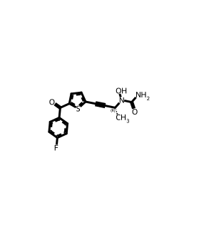 C[C@H](C#Cc1ccc(C(=O)c2ccc(F)cc2)s1)N(O)C(N)=O